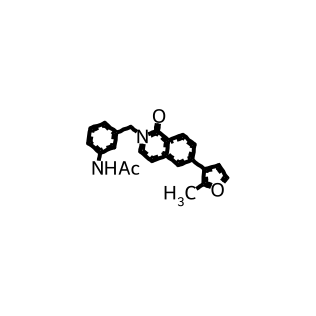 CC(=O)Nc1cccc(Cn2ccc3cc(-c4ccoc4C)ccc3c2=O)c1